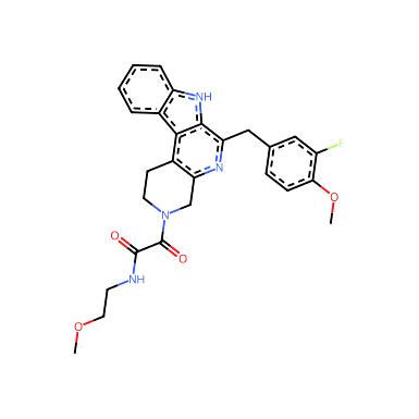 COCCNC(=O)C(=O)N1CCc2c(nc(Cc3ccc(OC)c(F)c3)c3[nH]c4ccccc4c23)C1